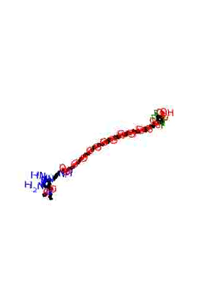 CCCN(OCC)C(=O)C1=CC(NCC#CCNC(=O)OCCOCCOCCOCCOCCOCCOCCOCCOCCOCCOCCC(=O)Oc2c(F)c(F)c(S(=O)(=O)O)c(F)c2F)=C(C=N)N=C(N)C1